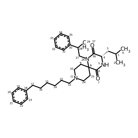 CC(C)C[C@@H]1NC(=O)C2(CCN(CCCCCCc3ccccc3)CC2)N(CC(C)c2ccccc2)C1=O